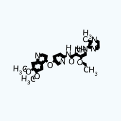 CCO/C(=C/Nc1nccnc1C)C(=N)C(=O)Nc1ccc(Oc2ccnc3cc(OC)c(OC)cc23)cn1